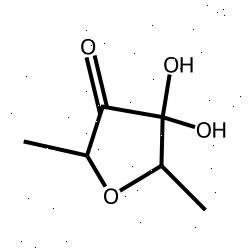 CC1OC(C)C(O)(O)C1=O